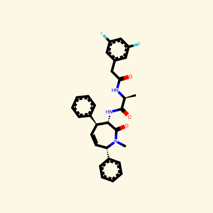 C[C@H](NC(=O)Cc1cc(F)cc(F)c1)C(=O)N[C@@H]1C(=O)N(C)[C@H](c2ccccc2)C=C[C@H]1c1ccccc1